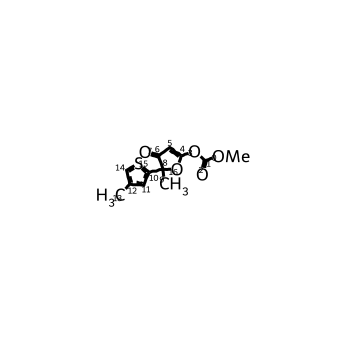 COC(=O)OC1=CC(=O)C(C)(c2cc(C)cs2)O1